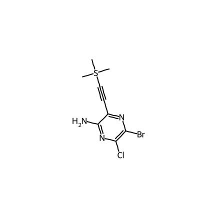 CS(C)(C)C#Cc1nc(Br)c(Cl)nc1N